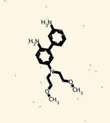 COCCN(CCOC)c1ccc(N)c(-c2cccc(N)c2)c1